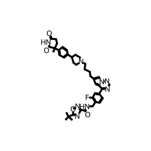 CC(C)(C)c1nc(C(=O)NCc2ccc(-c3ncnn4cc(CCCCN5CCC(c6ccc(C7(C)CCC(=O)NC7=O)cc6)CC5)cc34)cc2F)no1